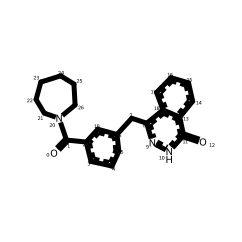 O=C(c1cccc(Cc2n[nH]c(=O)c3ccccc23)c1)N1CCCCCC1